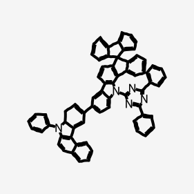 C1=C(c2ccc3c(c2)c2ccc4c(c2n3-c2nc(-c3ccccc3)nc(-c3ccccc3)n2)-c2ccccc2C42c3ccccc3-c3ccccc32)C=C2c3c(ccc4ccccc34)N(c3ccccc3)C2C1